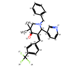 CC1(C)CN(Cc2ccccc2)C(c2cccnc2)C(=Cc2ccc(C(F)(F)F)cc2)C1=O